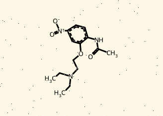 CCN(CC)CCOc1cc([N+](=O)[O-])ccc1NC(C)=O